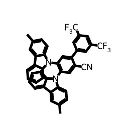 Cc1ccc2c(c1)c1ccccc1n2-c1cc(C#N)c(-c2cc(C(F)(F)F)cc(C(F)(F)F)c2)cc1-n1c2ccccc2c2cc(C)ccc21